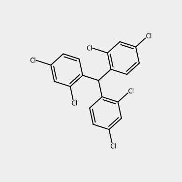 Clc1ccc(C(c2ccc(Cl)cc2Cl)c2ccc(Cl)cc2Cl)c(Cl)c1